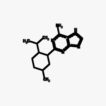 CC1CCC(C(C)C)C(c2nc(N)c3[nH]cnc3n2)C1